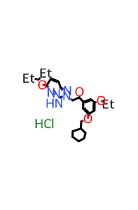 CCOc1cc(OCC2CCCCC2)cc(C(=O)Cn2nc3ccc(OC(CC)CC)nn3c2=N)c1.Cl